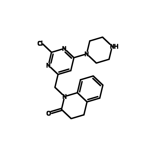 O=C1CCc2ccccc2N1Cc1cc(N2CCNCC2)nc(Cl)n1